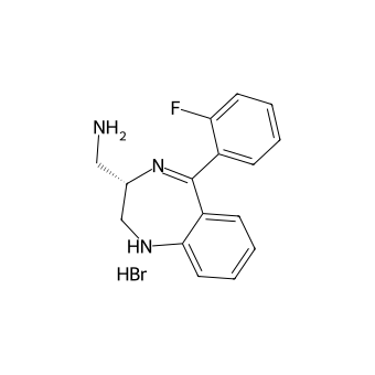 Br.NC[C@H]1CNc2ccccc2C(c2ccccc2F)=N1